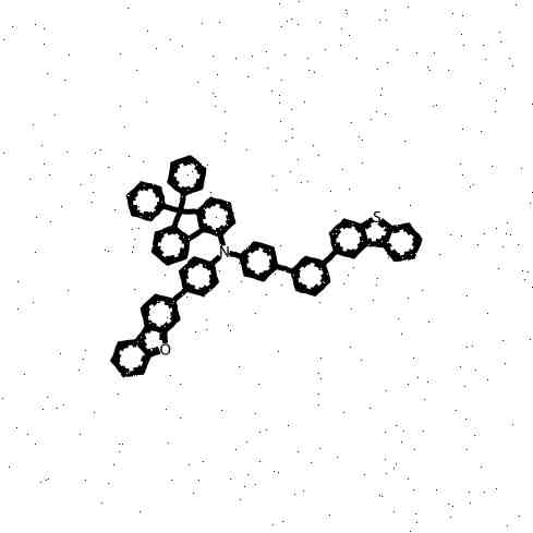 c1ccc(C2(c3ccccc3)c3ccccc3-c3c(N(c4ccc(-c5cccc(-c6ccc7sc8ccccc8c7c6)c5)cc4)c4ccc(-c5ccc6c(c5)oc5ccccc56)cc4)cccc32)cc1